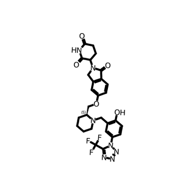 O=C1CCC(N2Cc3cc(OC[C@@H]4CCCCN4Cc4cc(-n5nnnc5C(F)(F)F)ccc4O)ccc3C2=O)C(=O)N1